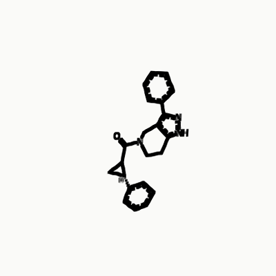 O=C(C1C[C@H]1c1ccccc1)N1CCc2[nH]nc(-c3ccccc3)c2C1